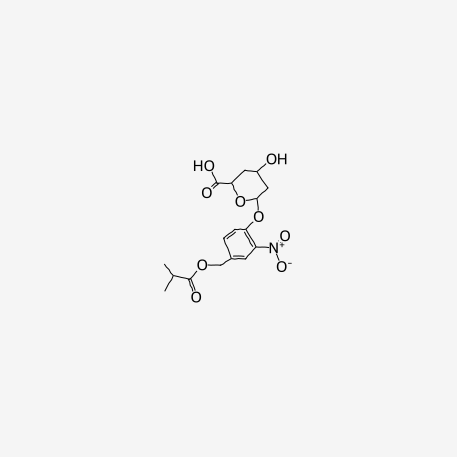 CC(C)C(=O)OCc1ccc(OC2CC(O)CC(C(=O)O)O2)c([N+](=O)[O-])c1